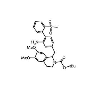 COc1cc2c(cc1OC)C(Cc1ccc(-c3ccccc3S(C)(=O)=O)c(N)c1)N(C(=O)OC(C)(C)C)CC2